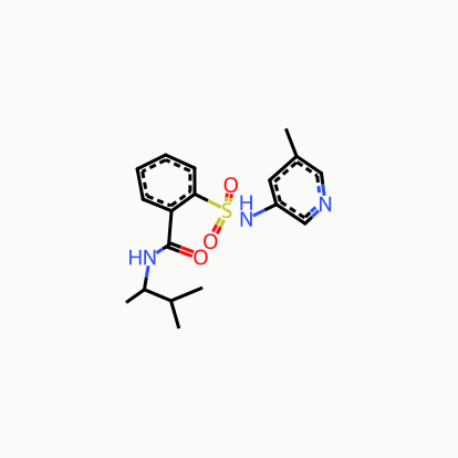 Cc1cncc(NS(=O)(=O)c2ccccc2C(=O)NC(C)C(C)C)c1